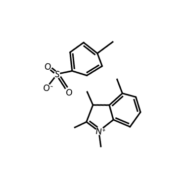 CC1=[N+](C)c2cccc(C)c2C1C.Cc1ccc(S(=O)(=O)[O-])cc1